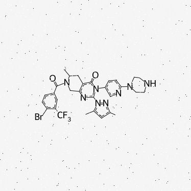 Cc1cc(C)n(-c2nc3c(c(=O)n2-c2ccc(N4CCNCC4)nc2)CC(C)N(C(=O)c2ccc(Br)c(C(F)(F)F)c2)C3)n1